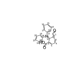 O=C=C1C=CC=C(C(=O)O)C1N(c1ccccc1)c1ccccc1